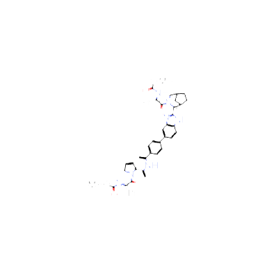 C=C(NC(=C)[C@@H]1C=CCN1C(=O)[C@@H](NC(=O)OC)C(C)C)c1ccc(-c2ccc3[nH]c([C@@H]4C5CCC(C5)CN4C(=O)[C@@H](NC(=O)OC)C(C)C)nc3c2)cc1